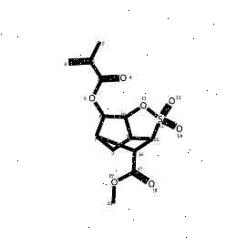 C=C(C)C(=O)OC1C2CC3C1OS(=O)(=O)C3C2C(=O)OC